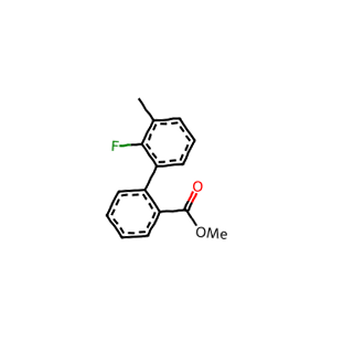 COC(=O)c1ccccc1-c1cccc(C)c1F